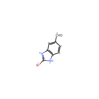 O=Cc1ccc2[nH]c(Br)nc2c1